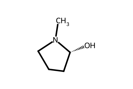 CN1CCC[C@H]1O